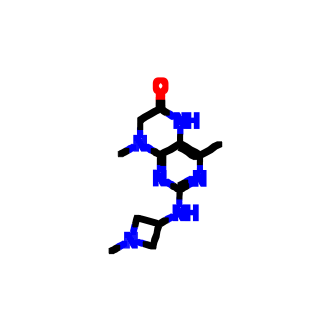 Cc1nc(NC2CN(C)C2)nc2c1NC(=O)CN2C